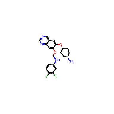 N[C@H]1CC[C@H](Oc2cc3cncnc3cc2OCNc2ccc(F)c(Cl)c2)CC1